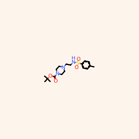 Cc1ccc(S(=O)(=O)NCCN2CCN(C(=O)OC(C)(C)C)CC2)cc1